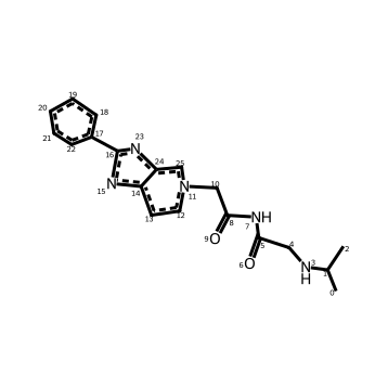 CC(C)NCC(=O)NC(=O)Cn1ccc2nc(-c3ccccc3)nc-2c1